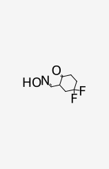 O=C1CCC(F)(F)CC1/C=N/O